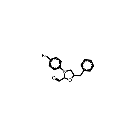 O=CC1OC(Cc2ccccc2)CN1c1ccc(Br)cc1